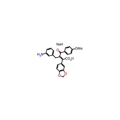 COc1ccc(C(=O)/C(Cc2cccc(N)c2)=C(\C(=O)O)c2ccc3c(c2)OCO3)cc1.[NaH]